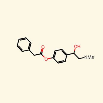 CNCC(O)c1ccc(OC(=O)Cc2ccccc2)cc1